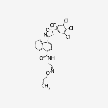 C=CCO/N=C\CNC(=O)c1ccc(C2=NOC(c3cc(Cl)c(Cl)c(Cl)c3)(C(F)(F)F)C2)c2ccccc12